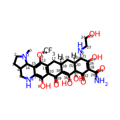 CN1CCC2CNc3c(O)c4c(c(OC(F)(F)F)c3C21)C[C@H]1C[C@H]2[C@H](NCCO)C(O)=C(C(N)=O)C(=O)[C@@]2(O)C(O)=C1C4=O